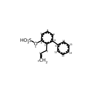 C=CCc1c(OS(=O)(=O)O)cccc1-c1ccccc1